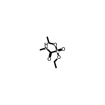 CCOP(=O)(OCC)C(=O)NC